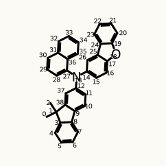 CC1(C)c2ccccc2-c2ccc(N(c3ccc4oc5ccccc5c4c3)c3cccc4ccccc34)cc21